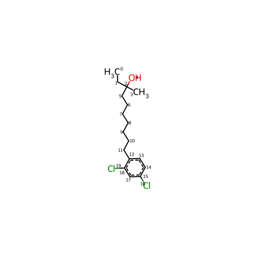 CCC(C)(O)CCCCCCCc1ccc(Cl)cc1Cl